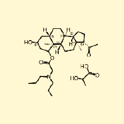 CC(O)C(=O)O.CCCN(CCC)CC(=O)OC1C[C@@H](O)C[C@@H]2CC[C@H]3[C@@H]4CC[C@H](C(C)=O)[C@@]4(C)CC[C@@H]3[C@@]12C